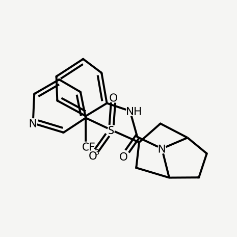 O=C(Nc1ccccc1C(F)(F)F)N1C2CCC1CC(S(=O)(=O)c1cccnc1)C2